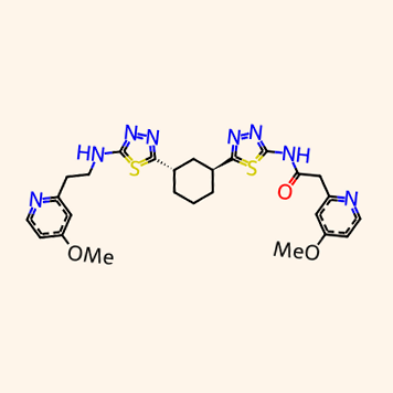 COc1ccnc(CCNc2nnc([C@H]3CCC[C@H](c4nnc(NC(=O)Cc5cc(OC)ccn5)s4)C3)s2)c1